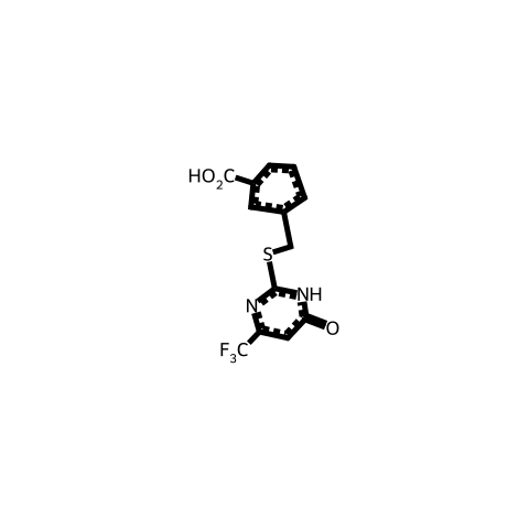 O=C(O)c1cccc(CSc2nc(C(F)(F)F)cc(=O)[nH]2)c1